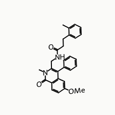 COc1ccc2c(=O)n(C)c(CNC(=O)CCc3ccccc3C)c(-c3ccccc3)c2c1